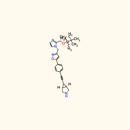 C[C@H](O[Si](C)(C)C(C)(C)C)c1nccn1Cc1cc(-c2ccc(C#CC3[C@H]4CNC[C@@H]34)cc2)on1